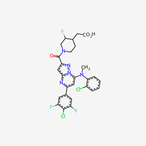 CN(c1ccccc1Cl)c1cc(-c2cc(F)c(Cl)c(F)c2)nc2cc(C(=O)N3CCC(CC(=O)O)C(F)C3)nn12